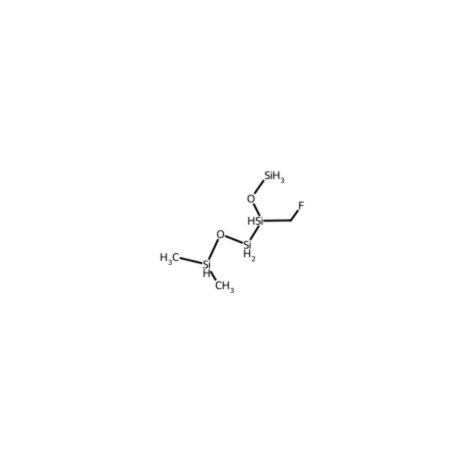 C[SiH](C)O[SiH2][SiH](CF)O[SiH3]